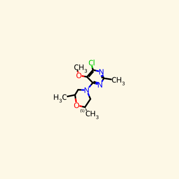 COc1c(Cl)nc(C)nc1N1CC(C)O[C@@H](C)C1